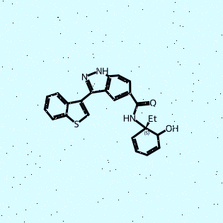 CC[C@]1(NC(=O)c2ccc3[nH]nc(-c4csc5ccccc45)c3c2)C=CC=CC1O